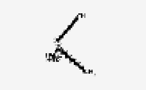 C#CC#CC#CC#CC#CC(=O)OC[C@@H](COP(=O)(O)O)OC(=O)CCCCCCCCCCC